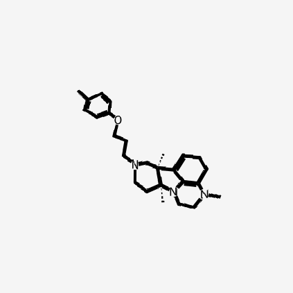 Cc1ccc(OCCCN2CC[C@]3(C)N4CCN(C)C5=C4C(=CCC5)[C@]3(C)C2)cc1